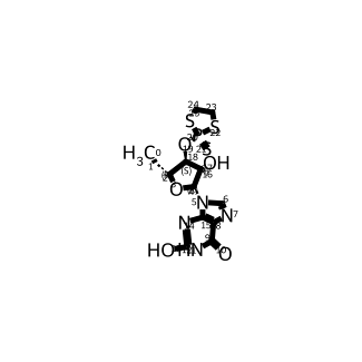 CC[C@H]1O[C@@H](n2cnc3c(=O)[nH]c(O)nc32)[C@H](O)[C@@H]1OP1(=S)SCCS1